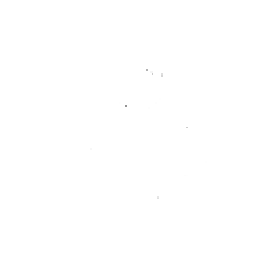 C(=C1/CCCN=C1c1cccnc1)/c1ccccc1N1CCOCC1